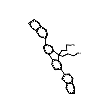 OCCCC1(CCCO)c2cc(-c3ccc4ccccc4c3)ccc2-c2ccc(-c3ccc4ccccc4c3)cc21